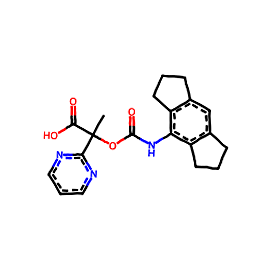 CC(OC(=O)Nc1c2c(cc3c1CCC3)CCC2)(C(=O)O)c1ncccn1